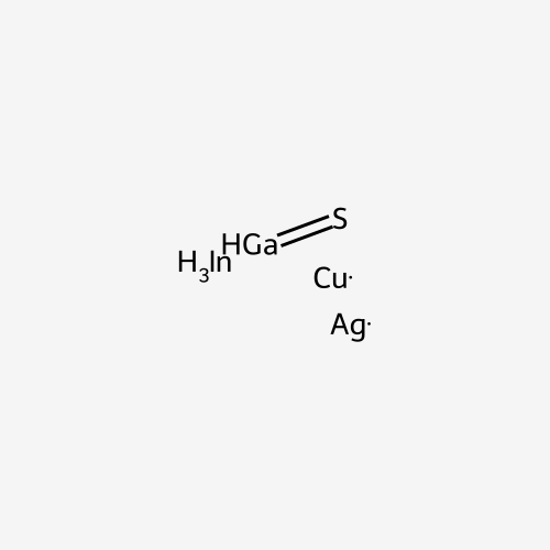 [Ag].[Cu].[InH3].[S]=[GaH]